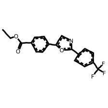 CCOC(=O)c1ccc(-c2cnc(-c3ccc(C(F)(F)F)cc3)o2)cc1